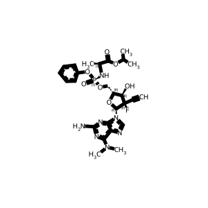 C#C[C@@]1(F)[C@H](O)[C@@H](CO[P@@](=O)(N[C@@H](C)C(=O)OC(C)C)Oc2ccccc2)O[C@H]1n1cnc2c(N(C)C)nc(N)nc21